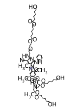 COc1cc(S(=O)(=O)CCN(CC(C)OC(=O)CCCCCO)CC(C)OC(=O)CCCCCO)c(OC)cc1/N=N/c1c(Nc2ccccc2)nc(NCCOCCOC(=O)CCCCCOC(=O)CCCCCO)c(C#N)c1C